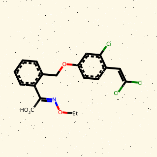 CCON=C(C(=O)O)c1ccccc1COc1ccc(C=C(Cl)Cl)c(Cl)c1